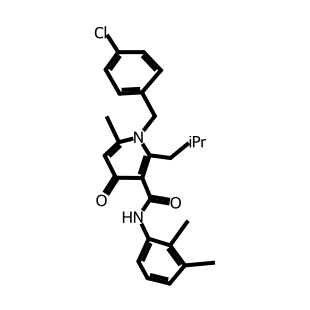 Cc1cccc(NC(=O)c2c(CC(C)C)n(Cc3ccc(Cl)cc3)c(C)cc2=O)c1C